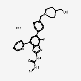 CCNC(=O)Nc1nc2c(F)c(-c3ccc(CN4CCC(CO)CC4)cc3)cc(-c3ccccn3)c2s1.Cl